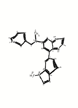 CN(Cc1cccnc1)c1cc(-c2ccc3ccn(C)c3c2)c2nccnc2c1